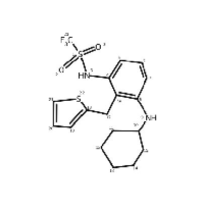 O=S(=O)(Nc1cc[c]c(NC2CCCCC2)c1Cc1cccs1)C(F)(F)F